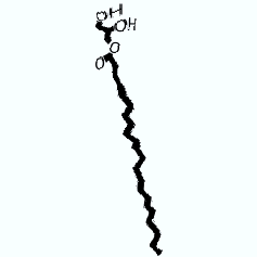 CCCCCCCCCCCC=CC=CC=CC=CC=CC(=O)OCC(O)CO